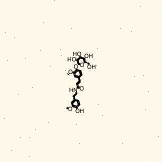 COc1cc(CCNC(=O)C=Cc2ccc(OC3O[C@H](CO)[C@@H](O)[C@H](O)[C@H]3O)c(OC)c2)ccc1O